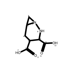 O=C(O)C1CC2CN2NC1C(=O)O